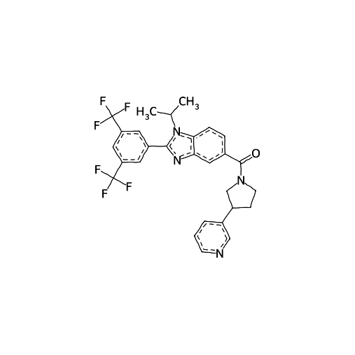 CC(C)n1c(-c2cc(C(F)(F)F)cc(C(F)(F)F)c2)nc2cc(C(=O)N3CCC(c4cccnc4)C3)ccc21